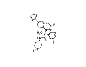 C[C@@](C(=O)NC1CCC(F)(F)CC1)(c1cncc(F)c1)N(C(=O)[C@H](F)Cl)c1ccc(-c2nccs2)cc1